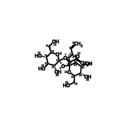 C=CCO[C@]1(O[C@@]2(OCC=C)O[C@H](CO)[C@@H](O)[C@H](O)[C@H]2O)O[C@H](CO)[C@@H](O)[C@H](O)[C@H]1O